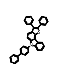 c1ccc(-c2ccc(-n3c4ccccc4c4c5sc(-c6ccccc6)c(-c6ccccc6)c5ccc43)cc2)cc1